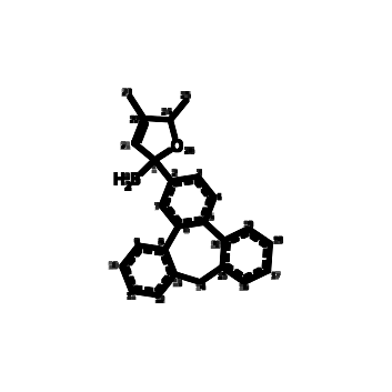 BC1(c2ccc3c(c2)-c2ccccc2Cc2ccccc2-3)C=C(C)C(C)O1